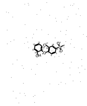 CS(=O)(=O)c1ccc(Oc2ccccc2O)c(Cl)c1